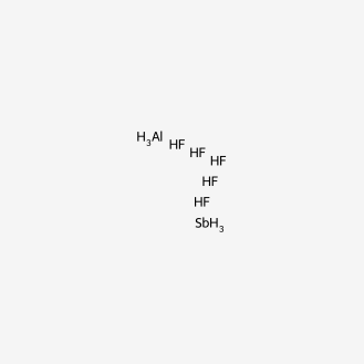 F.F.F.F.F.[AlH3].[SbH3]